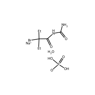 CCC(Br)(CC)C(=O)NC(N)=O.O.O=P([O-])(O)O.[Na+]